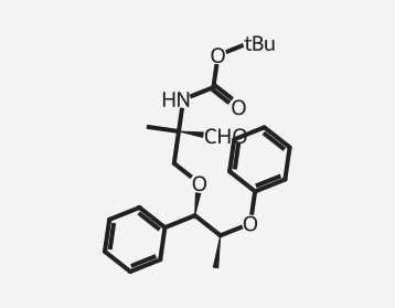 C[C@H](Oc1ccccc1)[C@H](OC[C@@](C)(C=O)NC(=O)OC(C)(C)C)c1ccccc1